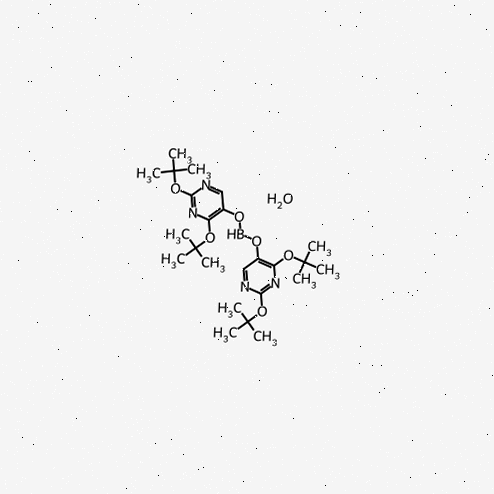 CC(C)(C)Oc1ncc(OBOc2cnc(OC(C)(C)C)nc2OC(C)(C)C)c(OC(C)(C)C)n1.O